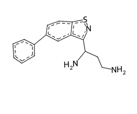 NCCC(N)c1nsc2ccc(-c3ccccc3)cc12